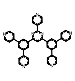 c1cc(-c2cc(-c3ccncc3)cc(-c3cc(-c4cc(-c5ccncc5)cc(-c5ccncc5)c4)nc(-c4ccncc4)n3)c2)ccn1